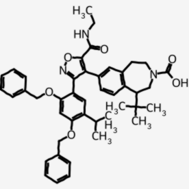 CCNC(=O)c1onc(-c2cc(C(C)C)c(OCc3ccccc3)cc2OCc2ccccc2)c1-c1ccc2c(c1)CCN(C(=O)O)CC2C(C)(C)C